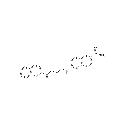 N=C(N)c1ccc2cc(NCCCNc3ccc4ccccc4c3)ccc2c1